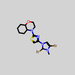 CN1C(Br)=CN(c2csc(N3CCOC4CCCCC43)n2)C1Br